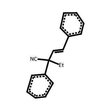 CCC(C#N)(C=Cc1ccccc1)c1ccccc1